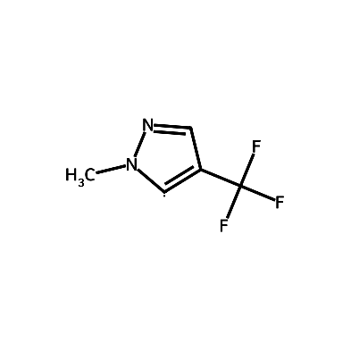 Cn1[c]c(C(F)(F)F)cn1